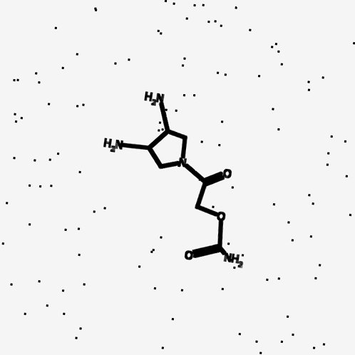 NC(=O)OCC(=O)N1CC(N)C(N)C1